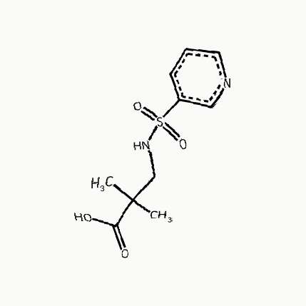 CC(C)(CNS(=O)(=O)c1cccnc1)C(=O)O